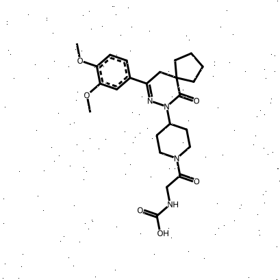 COc1ccc(C2=NN(C3CCN(C(=O)CNC(=O)O)CC3)C(=O)C3(CCCC3)C2)cc1OC